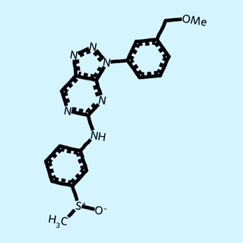 COCc1cccc(-n2nnc3cnc(Nc4cccc([S+](C)[O-])c4)nc32)c1